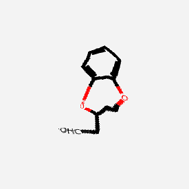 O=[C]CC1COc2ccccc2O1